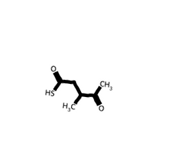 CC(=O)C(C)CC(=O)S